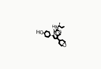 CC[C@H](C)Nc1ncc2c(C3CCOCC3)cc([C@H]3CC[C@H](O)CC3)n2n1